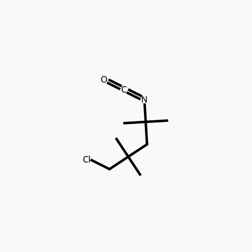 CC(C)(CCl)CC(C)(C)N=C=O